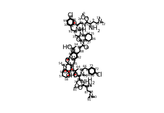 COC[C@H](NC(=O)[C@@H](N)CCN(C)C)C(=O)N(C)[C@H](CC(=O)N[C@H]1CCCC[C@@H]1N(C)C(=O)[C@@H](CC(=O)O)Cc1cc[n+]([O-])c(C[C@H](CC(=O)O)C(=O)N(C)[C@H]2CCCC[C@@H]2NC(=O)C[C@H](Cc2ccc(Cl)cc2)N(C)C(=O)[C@H](COC)NC(=O)[C@@H](N)CCN(C)C)c1)Cc1ccc(Cl)cc1